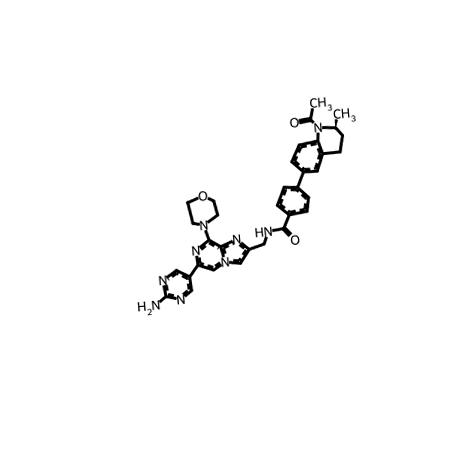 CC(=O)N1c2ccc(-c3ccc(C(=O)NCc4cn5cc(-c6cnc(N)nc6)nc(N6CCOCC6)c5n4)cc3)cc2CC[C@@H]1C